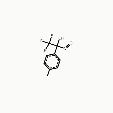 CC(N=O)(c1ccc(I)cc1)C(F)(F)F